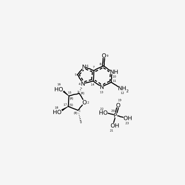 C[C@H]1O[C@@H](n2cnc3c(=O)[nH]c(N)nc32)[C@H](O)[C@@H]1O.O=P(O)(O)O